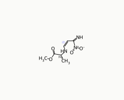 COC(=O)[C@H](C)N/C=C\C(=N)[N+](=O)[O-]